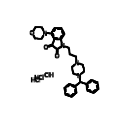 Cl.Cl.Cl.O=C1C(=O)N(CCCN2CCN(C(c3ccccc3)c3ccccc3)CC2)c2cccc(N3CCOCC3)c21